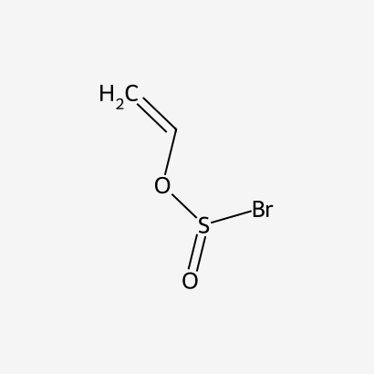 C=COS(=O)Br